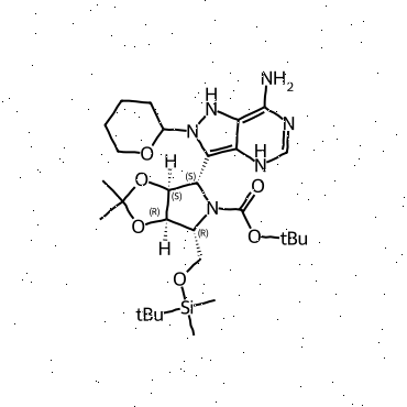 CC(C)(C)OC(=O)N1[C@H](CO[Si](C)(C)C(C)(C)C)[C@H]2OC(C)(C)O[C@H]2[C@@H]1C1=C2NC=NC(N)=C2NN1C1CCCCO1